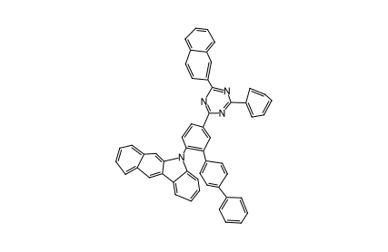 c1ccc(-c2ccc(-c3cc(-c4nc(-c5ccccc5)nc(-c5ccc6ccccc6c5)n4)ccc3-n3c4ccccc4c4cc5ccccc5cc43)cc2)cc1